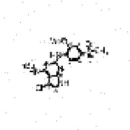 CCCCNc1nc(Nc2ccc(S(C)(=O)=O)cc2OC)nc2[nH]cc(Cl)c12